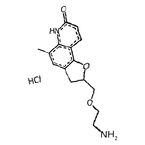 Cc1cc2c(c3ccc(=O)[nH]c13)OC(COCCN)C2.Cl